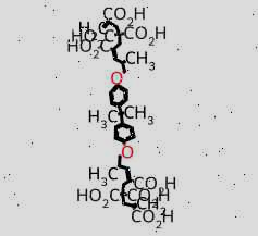 C=C(CC(CC(=CC(C)COc1ccc(C(C)(C)c2ccc(OCC(C)C=C(CC(CC(=C)C(=O)O)(C(=O)O)C(=O)O)C(=O)O)cc2)cc1)C(=O)O)(C(=O)O)C(=O)O)C(=O)O